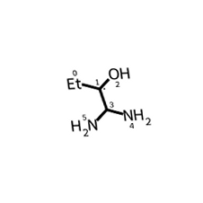 CC[C](O)C(N)N